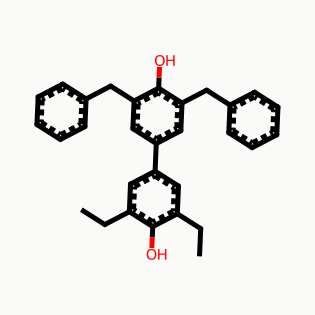 CCc1cc(-c2cc(Cc3ccccc3)c(O)c(Cc3ccccc3)c2)cc(CC)c1O